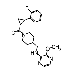 COc1nccnc1NCC1CCN(C(=O)[C@@H]2C[C@H]2c2ccccc2F)CC1